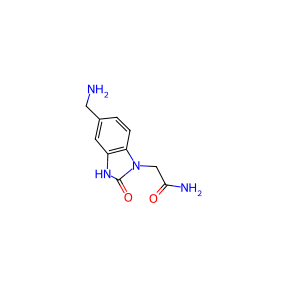 NCc1ccc2c(c1)[nH]c(=O)n2CC(N)=O